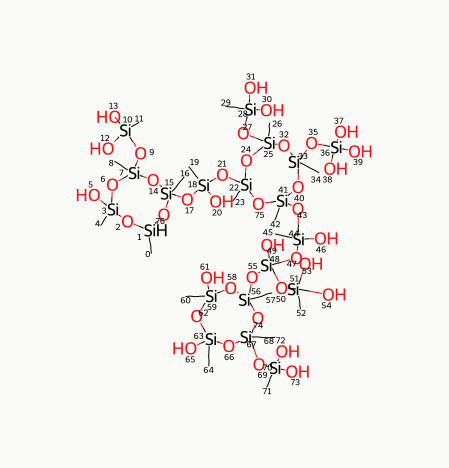 C[SiH]1O[Si](C)(O)O[Si](C)(O[Si](C)(O)O)O[Si](C)(O[Si](C)(O)O[Si]2(C)O[Si](C)(O[Si](C)(O)O)O[Si](C)(O[Si](O)(O)O)O[Si](C)(O[Si](C)(O)O[Si](O)(O[Si](C)(O)O)O[Si]3(C)O[Si](C)(O)O[Si](C)(O)O[Si](C)(O[Si](C)(O)O)O3)O2)O1